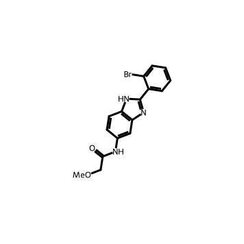 COCC(=O)Nc1ccc2[nH]c(-c3ccccc3Br)nc2c1